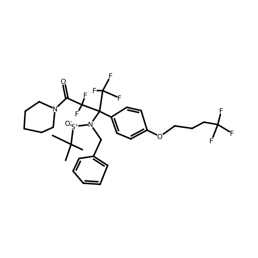 CC(C)(C)[S+]([O-])N(Cc1ccccc1)C(c1ccc(OCCCC(F)(F)F)cc1)(C(F)(F)F)C(F)(F)C(=O)N1CCCCC1